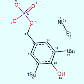 CC(C)(C)c1cc(COP(=O)([O-])[O-])cc(C(C)(C)C)c1O.C[CH2][Ni+2]